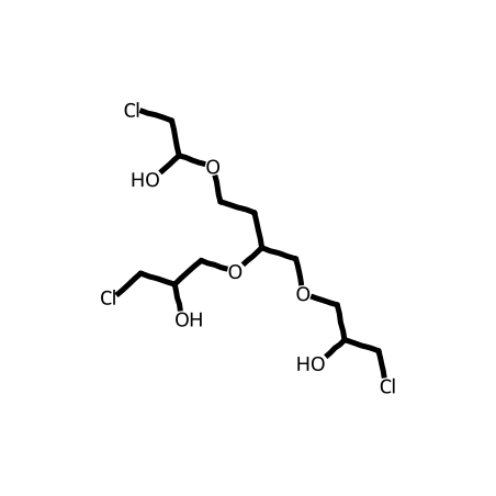 OC(CCl)COCC(CCOC(O)CCl)OCC(O)CCl